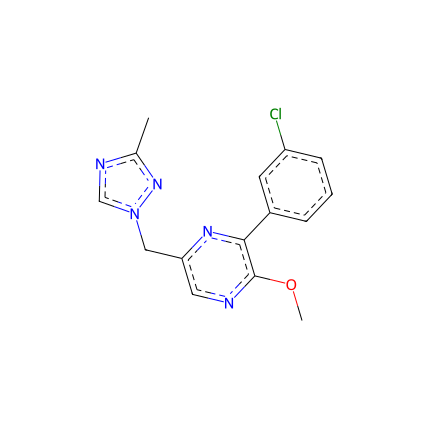 COc1ncc(Cn2cnc(C)n2)nc1-c1cccc(Cl)c1